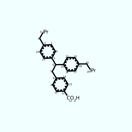 CC(C)Cc1ccc(C(Cc2ccc(C(=O)O)cc2)c2ccc(CC(C)C)cc2)cc1